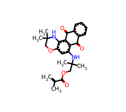 C=C(C)C(=O)OCC(C)(C)Nc1cc2c(c3c1C(=O)c1ccccc1C3=O)NC(C)(C)CO2